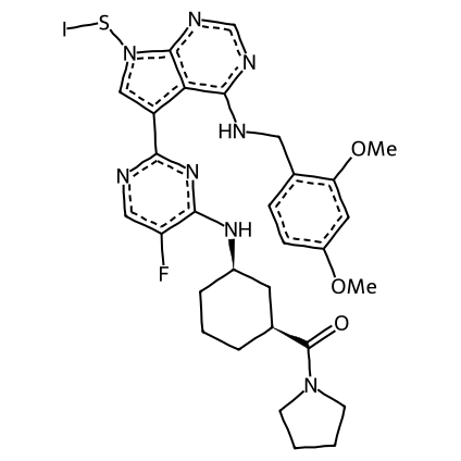 COc1ccc(CNc2ncnc3c2c(-c2ncc(F)c(N[C@@H]4CCC[C@H](C(=O)N5CCCC5)C4)n2)cn3SI)c(OC)c1